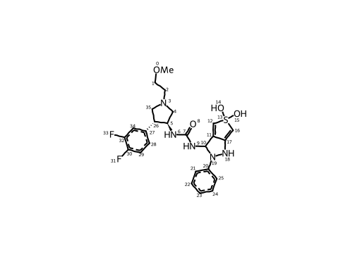 COCCN1C[C@@H](NC(=O)NC2C3=CS(O)(O)C=C3NN2c2ccccc2)[C@H](c2ccc(F)c(F)c2)C1